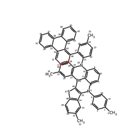 Cc1ccc(N2c3cccc4c3B(c3cc(C)ccc3N4c3ccc(C)cc3-c3cccc4c5ccccc5c5ccccc5c34)c3sc4ccc(C)cc4c32)cc1